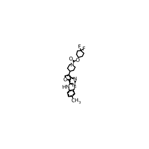 Cc1ccc(Nc2ncnc3c(C4CCN(C(=O)OC5CCC(F)(F)CC5)CC4)coc23)c(F)c1